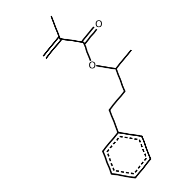 C=C(C)C(=O)OC(C)CCc1ccccc1